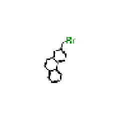 BrCc1ccc2c(ccc3ccccc32)c1